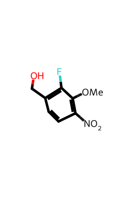 COc1c([N+](=O)[O-])ccc(CO)c1F